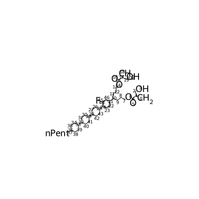 C=C(CO)C(=O)OCCCC(CCCOC(=O)C(=C)CO)c1ccc(C2CCC(C3CCC(C4CCC(CCCCC)CC4)CC3)CC2)c(F)c1